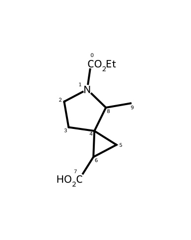 CCOC(=O)N1CCC2(CC2C(=O)O)C1C